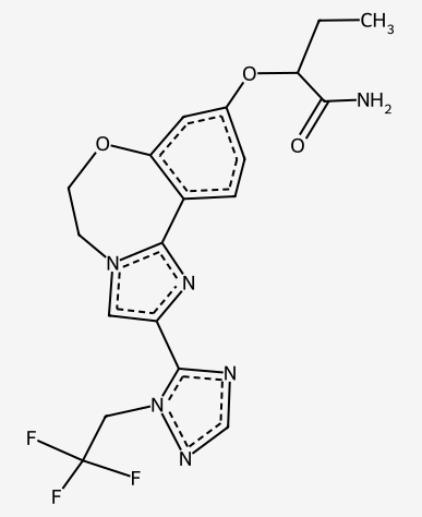 CCC(Oc1ccc2c(c1)OCCn1cc(-c3ncnn3CC(F)(F)F)nc1-2)C(N)=O